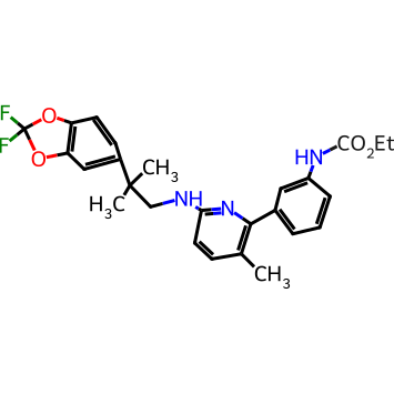 CCOC(=O)Nc1cccc(-c2nc(NCC(C)(C)c3ccc4c(c3)OC(F)(F)O4)ccc2C)c1